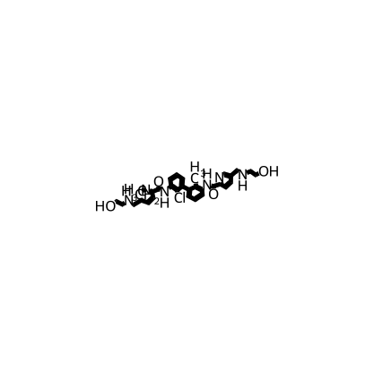 C=C(/C=C\C(=N/C)C(=O)Nc1cccc(-c2cccc(NC(=O)c3ccc(CNCCO)cn3)c2C)c1Cl)CNCCO